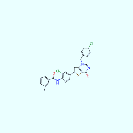 Cc1cccc(C(=O)Nc2ccc(-c3cc4c(s3)c(=O)ncn4Cc3ccc(Cl)cc3)cc2Cl)c1